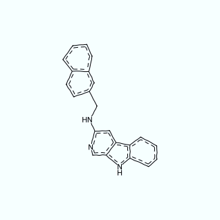 c1ccc2cc(CNc3cc4c(cn3)[nH]c3ccccc34)ccc2c1